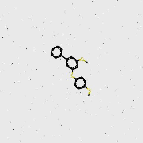 CSc1ccc(Sc2cc(SC)cc(-c3ccccc3)c2)cc1